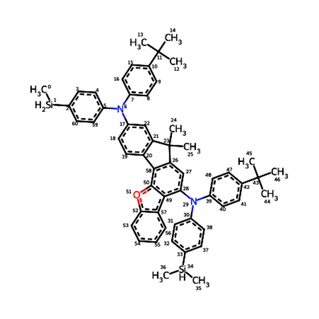 C[SiH2]c1ccc(N(c2ccc(C(C)(C)C)cc2)c2ccc3c(c2)C(C)(C)c2cc(N(c4ccc([SiH](C)C)cc4)c4ccc(C(C)(C)C)cc4)c4c(oc5ccccc54)c2-3)cc1